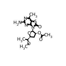 COC(C)[C@@H]1C[C@@H](OC(C)=O)[C@H](n2c(=O)sc3c(C)nc(N)nc32)O1